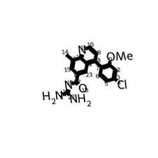 COc1cc(Cl)ccc1-c1ccnc2c(C)cc(C(=O)N=C(N)N)cc12